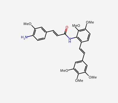 COc1cc(/C=C/C(=O)Nc2c(C=Cc3cc(OC)c(OC)c(OC)c3)ccc(OC)c2OC)ccc1N